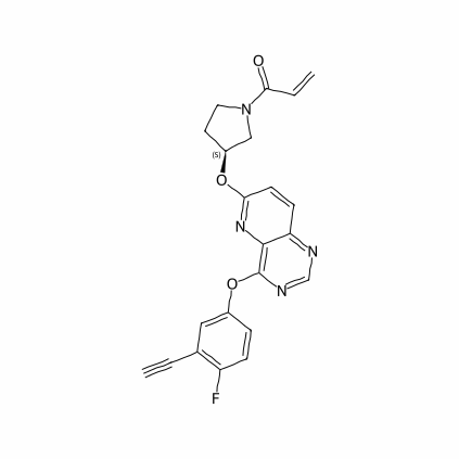 C#Cc1cc(Oc2ncnc3ccc(O[C@H]4CCN(C(=O)C=C)C4)nc23)ccc1F